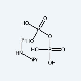 CC(C)NC(C)C.O=P(O)(O)OP(=O)(O)O